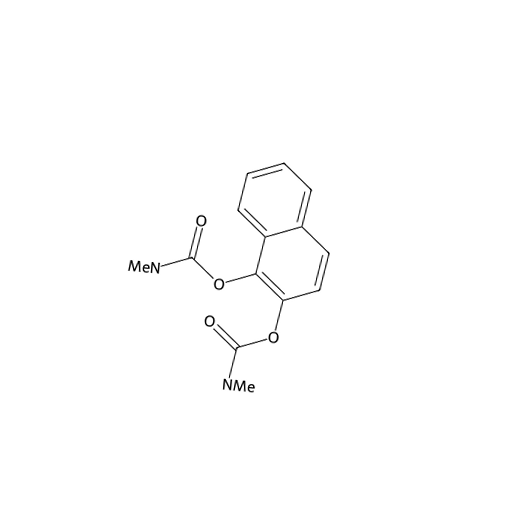 CNC(=O)Oc1ccc2ccccc2c1OC(=O)NC